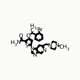 C[C@@H](Oc1cc(-n2cnc3cnc(CN4CCN(C)CC4)cc32)sc1C(N)=O)c1ccccc1Br